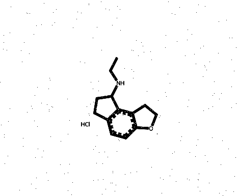 CCNC1CCc2ccc3c(c21)CCO3.Cl